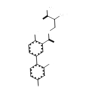 COC(=O)C(CSC(=O)c1cc(-c2ccc(F)cc2F)ccc1OC(C)=O)NC(C)=O